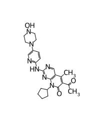 CC(=O)c1c(C)c2cnc(Nc3ccc(N4CCN(O)CC4)cn3)nc2n(C2CCCC2)c1=O